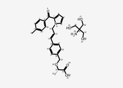 Cc1ccc(C(=O)c2cccn2CC=Cc2ccc(CO[C@@H](C)C(=O)O)cc2)cc1.NC(CO)(CO)CO